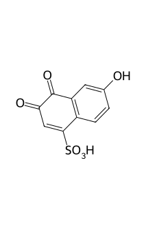 O=C1C=C(S(=O)(=O)O)c2ccc(O)cc2C1=O